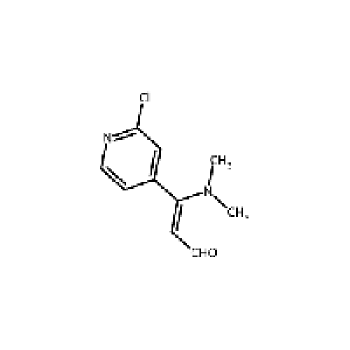 CN(C)C(=CC=O)c1ccnc(Cl)c1